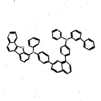 c1ccc(-c2cccc(N(c3ccccc3)c3ccc(-c4cccc5ccc(-c6ccc(N(c7ccccc7)c7cccc8c7oc7c9ccccc9ccc87)cc6)cc45)cc3)c2)cc1